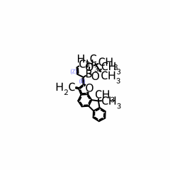 C=c1/c(=C(\C=C/C)B2OC(C)(C)C(C)(C)O2)oc2c3c(ccc12)-c1ccccc1C3(C)C